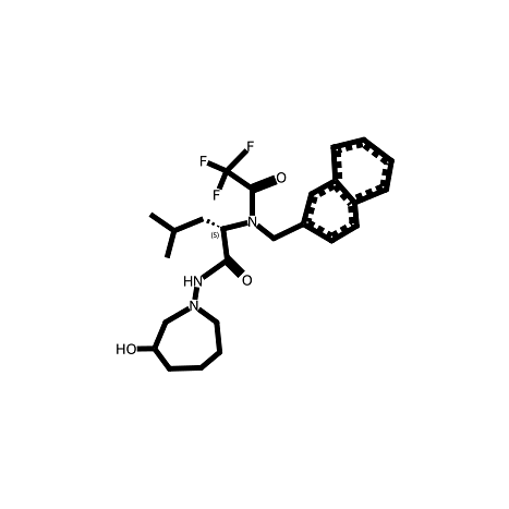 CC(C)C[C@@H](C(=O)NN1CCCCC(O)C1)N(Cc1ccc2ccccc2c1)C(=O)C(F)(F)F